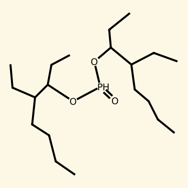 CCCCC(CC)C(CC)O[PH](=O)OC(CC)C(CC)CCCC